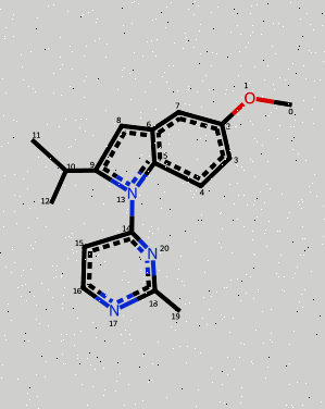 COc1ccc2c(c1)cc(C(C)C)n2-c1ccnc(C)n1